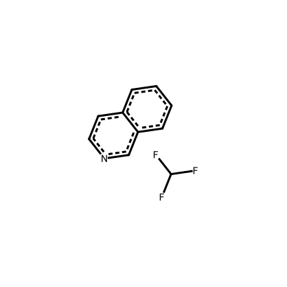 FC(F)F.c1ccc2cnccc2c1